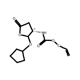 C=CCOC(=O)N[C@H]1CC(=O)OC1OC1CCCC1